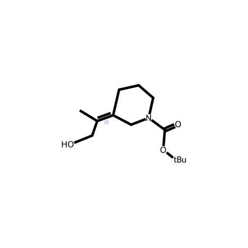 C/C(CO)=C1\CCCN(C(=O)OC(C)(C)C)C1